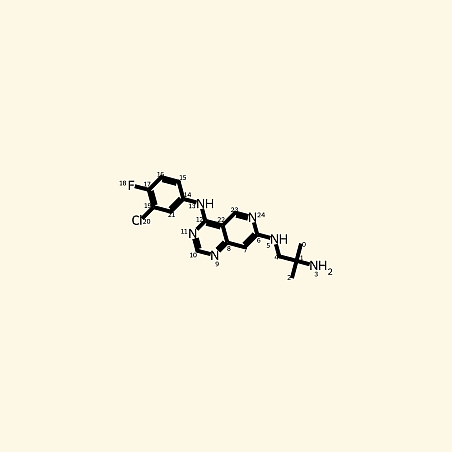 CC(C)(N)CNc1cc2ncnc(Nc3ccc(F)c(Cl)c3)c2cn1